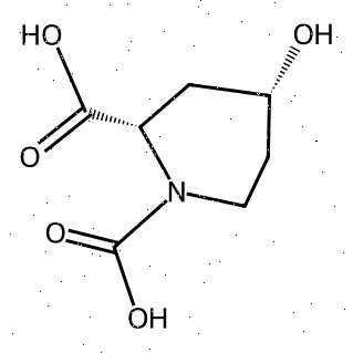 O=C(O)[C@@H]1C[C@H](O)CCN1C(=O)O